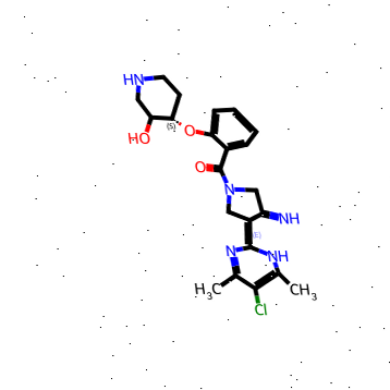 CC1=N/C(=C2\CN(C(=O)c3ccccc3O[C@H]3CCNCC3O)CC2=N)NC(C)=C1Cl